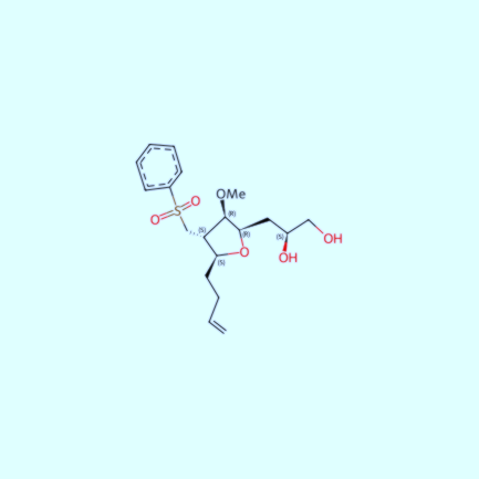 C=CCC[C@@H]1O[C@H](C[C@H](O)CO)[C@H](OC)[C@H]1CS(=O)(=O)c1ccccc1